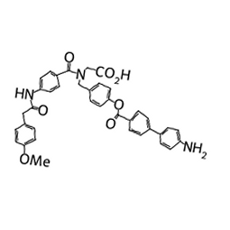 COc1ccc(CC(=O)Nc2ccc(C(=O)N(CC(=O)O)Cc3ccc(OC(=O)c4ccc(-c5ccc(N)cc5)cc4)cc3)cc2)cc1